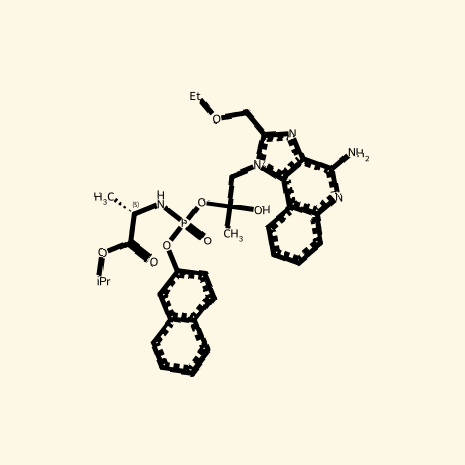 CCOCc1nc2c(N)nc3ccccc3c2n1CC(C)(O)OP(=O)(N[C@@H](C)C(=O)OC(C)C)Oc1ccc2ccccc2c1